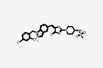 CS(=O)(=O)NC1CCN(C2=NC(=O)C(=Cc3ccc4c(cnn4Cc4ccc(Cl)cc4C(F)(F)F)c3)S2)CC1